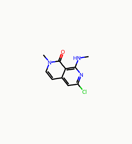 CNc1nc(Cl)cc2ccn(C)c(=O)c12